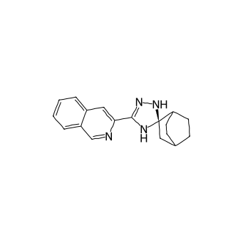 c1ccc2cc(C3=NN[C@@]4(CC5CCC4CC5)N3)ncc2c1